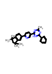 CC1=NC(c2ccccc2)NC(c2ccc(-c3ccc4c(c3)C(C)(C)CC4(C)C)nc2)=N1